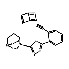 C#Cc1ccccc1-c1nnc(N2CCN3CCC2CC3)o1.c1cc2ccc1-2